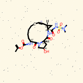 C=C(C)OC(=O)N[C@H]1CCCCC/C=C\[C@@H]2C[C@@]2(C(=O)NS(=O)(=O)N(C)C)NC(=O)[C@@H]2C[C@@H](O)CN2C1=O